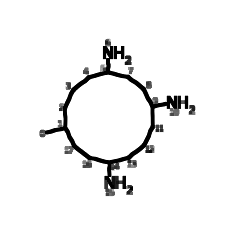 CC1CCCC(N)CCC(N)CCCC(N)CC1